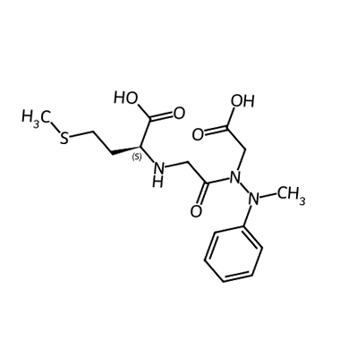 CSCC[C@H](NCC(=O)N(CC(=O)O)N(C)c1ccccc1)C(=O)O